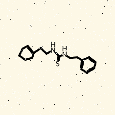 S=C(NCCC1=CCCCC1)NCCc1ccccc1